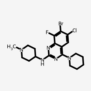 CN1CCC(Nc2nc(N3CCCCC3)c3cc(Cl)c(Br)c(F)c3n2)CC1